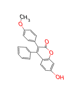 COc1ccc(-c2c(-c3ccccc3)c3ccc(O)cc3oc2=O)cc1